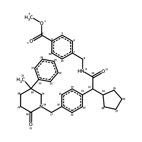 COC(=O)c1ccc(CNC(=O)C(c2ccc(CN3CC(C)(c4ccccc4)CCC3=O)cc2)C2CCCC2)cc1